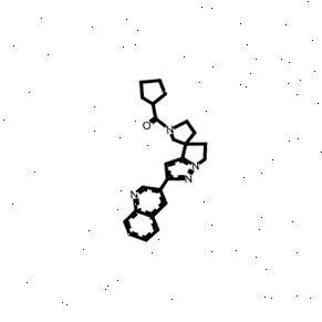 O=C(C1CCCC1)N1CCC2(CCn3nc(-c4cnc5ccccc5c4)cc32)C1